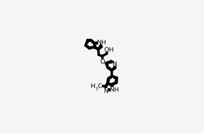 Cc1n[nH]c2ccc(-c3cncc(OC(CO)Cc4c[nH]c5ccccc45)c3)cc12